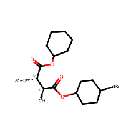 CO[C@H](C(=O)OC1CCCCC1)[C@H](C)C(=O)OC1CCC(C(C)(C)C)CC1